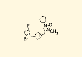 CN1C(=O)N(C2CCCCC2)CC1CN1CCC(Cc2cc(F)ccc2Br)CC1